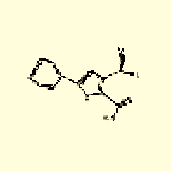 NC(=O)c1cc(-c2ccccc2)[nH]c1C(N)=O